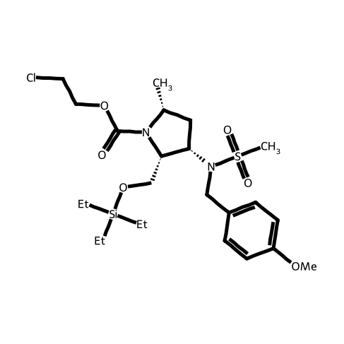 CC[Si](CC)(CC)OC[C@H]1[C@@H](N(Cc2ccc(OC)cc2)S(C)(=O)=O)C[C@@H](C)N1C(=O)OCCCl